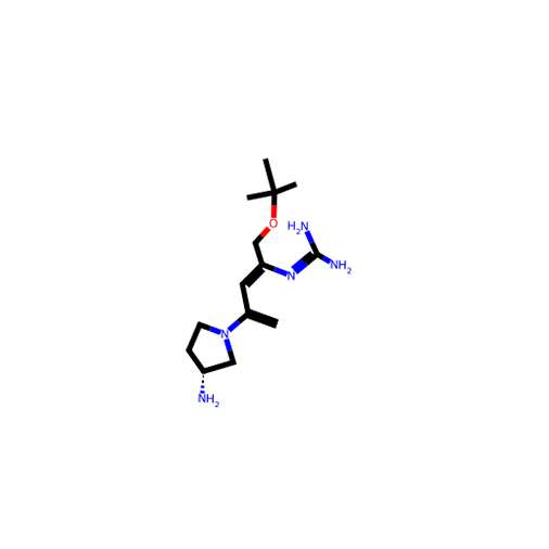 C=C(/C=C(/COC(C)(C)C)N=C(N)N)N1CC[C@@H](N)C1